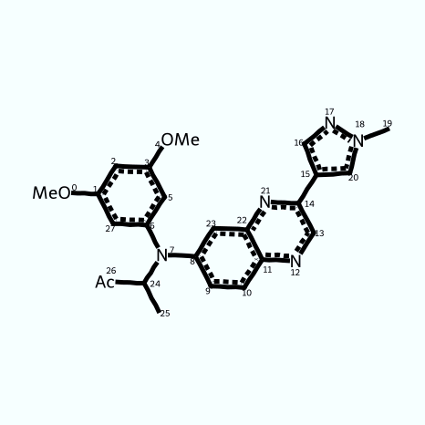 COc1cc(OC)cc(N(c2ccc3ncc(-c4cnn(C)c4)nc3c2)C(C)C(C)=O)c1